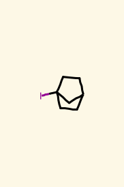 IC12CCC(CC1)C2